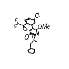 COc1nn(C(C)Cc2ccccc2)c(=O)cc1-c1cc(Cl)ccc1C(=O)C(F)F